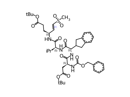 CC(C)[C@H](NC(=O)[C@@H](NC(=O)[C@H](CC(=O)OC(C)(C)C)NC(=O)OCc1ccccc1)C1Cc2ccccc2C1)C(=O)N[C@H](/C=C/S(C)(=O)=O)CCC(=O)OC(C)(C)C